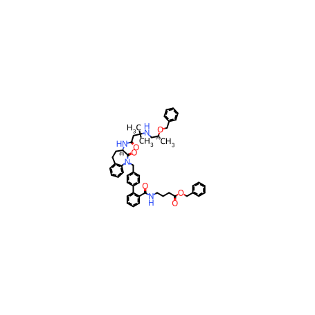 C[C@H](CNC(C)(C)CC(=O)N[C@@H]1CCc2ccccc2N(Cc2ccc(-c3ccccc3C(=O)NCCCC(=O)OCc3ccccc3)cc2)C1=O)OCc1ccccc1